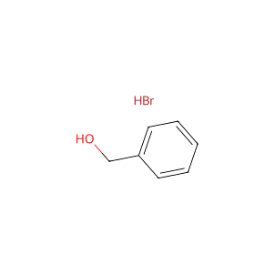 Br.OCc1ccccc1